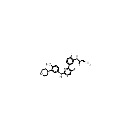 C=CC(=O)Nc1cc(-c2nc(Nc3ccc(O)c(N4CCOCC4)c3)ncc2F)ccc1F